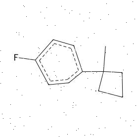 CC1(c2ccc(F)cc2)[CH]CC1